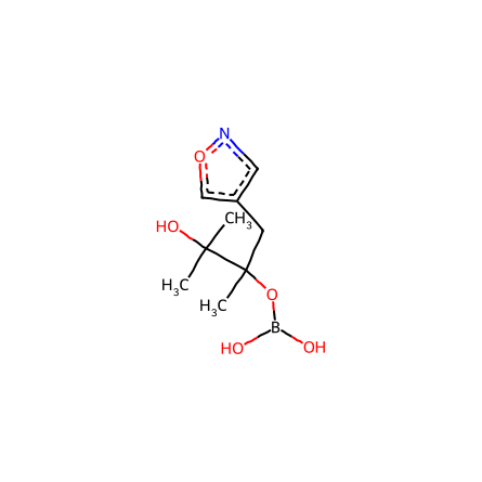 CC(C)(O)C(C)(Cc1cnoc1)OB(O)O